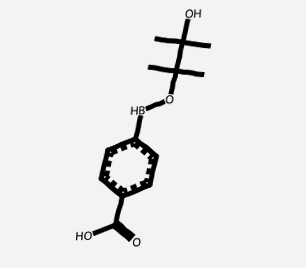 CC(C)(O)C(C)(C)OBc1ccc(C(=O)O)cc1